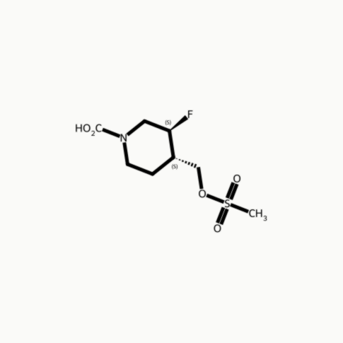 CS(=O)(=O)OC[C@@H]1CCN(C(=O)O)C[C@H]1F